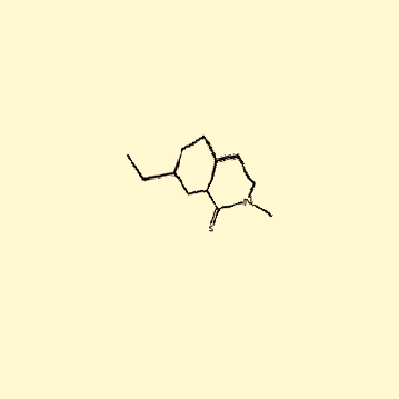 CCC1CCC2CCN(C)C(=S)C2C1